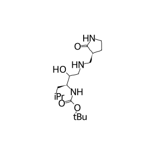 CC(C)C[C@H](NC(=O)OC(C)(C)C)C(O)CNC[C@@H]1CCNC1=O